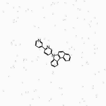 c1cncc(-c2ccc(-n3c4ccccc4c4c5ccccc5ccc43)cn2)c1